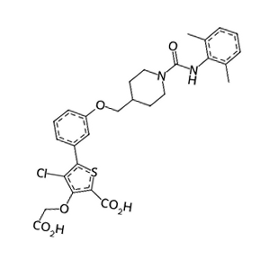 Cc1cccc(C)c1NC(=O)N1CCC(COc2cccc(-c3sc(C(=O)O)c(OCC(=O)O)c3Cl)c2)CC1